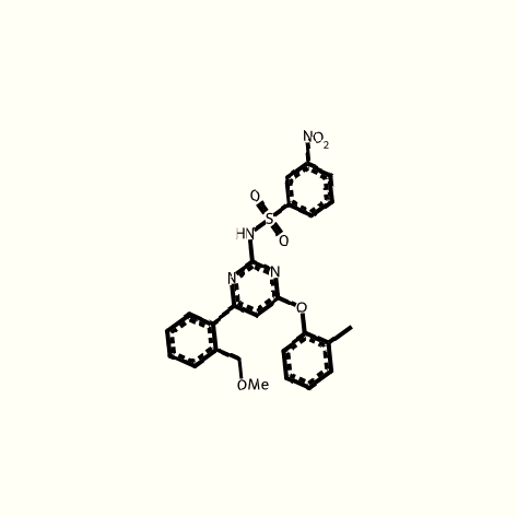 COCc1ccccc1-c1cc(Oc2ccccc2C)nc(NS(=O)(=O)c2cccc([N+](=O)[O-])c2)n1